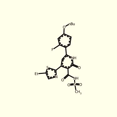 CCCCOc1ccc(-c2cc(-c3ncc(CC)s3)c(C(=O)NS(C)(=O)=O)c(=O)[nH]2)c(F)c1